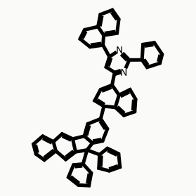 c1ccc(-c2nc(-c3cccc4ccccc34)cc(-c3ccc(-c4ccc5c(c4)-c4cc6ccccc6cc4C5(c4ccccc4)c4ccccc4)c4ccccc34)n2)cc1